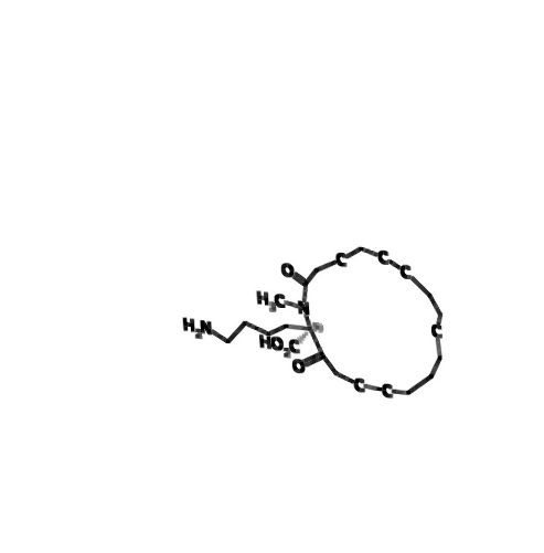 CN1C(=O)CCCCCCCCCCCCCCC(=O)[C@]1(CCCCN)C(=O)O